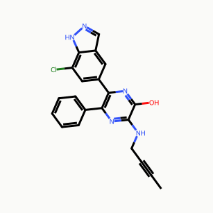 CC#CCNc1nc(-c2ccccc2)c(-c2cc(Cl)c3[nH]ncc3c2)nc1O